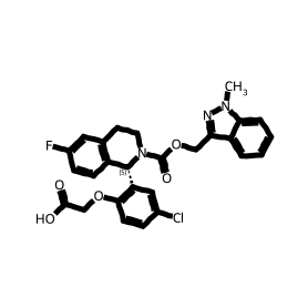 Cn1nc(COC(=O)N2CCc3cc(F)ccc3[C@H]2c2cc(Cl)ccc2OCC(=O)O)c2ccccc21